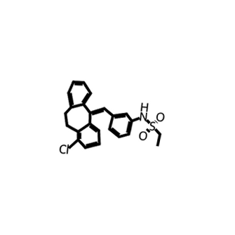 CCS(=O)(=O)Nc1cccc(/C=C2/c3ccccc3CCc3c(Cl)cccc32)c1